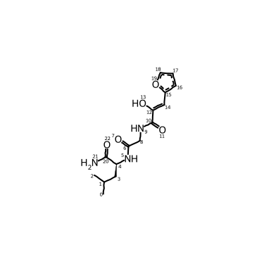 CC(C)C[C@H](NC(=O)CNC(=O)C(O)=Cc1ccco1)C(N)=O